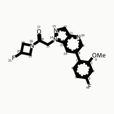 COc1cc(F)ccc1-c1cnc2cnn(CC(=O)N3CC(F)C3)c2c1